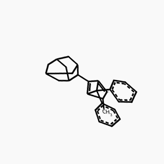 CC1[C]=C2C(C3C4CC5CC(C4)CC3C5)=C1C2(c1ccccc1)c1ccccc1